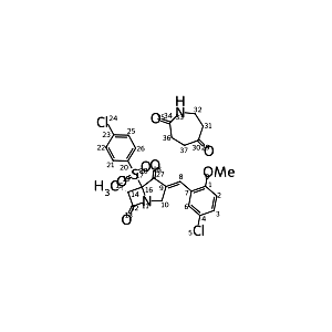 COc1ccc(Cl)cc1C=C1CN2C(=O)[C@H](C)C2(S(=O)(=O)c2ccc(Cl)cc2)C1=O.O=C1CCNC(=O)CC1